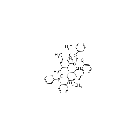 Cc1cccc(OP(Oc2ccccc2C)Oc2c(C)c(C)cc(C)c2-c2c(C)cc(C)c(C)c2OP(c2ccccc2)c2ccccc2)c1